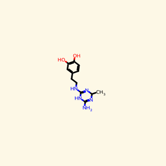 CC1N=C(N)NC(NCCc2ccc(O)c(O)c2)=N1